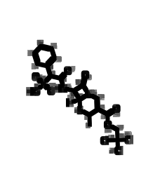 CC1S[C@@H]2C(NC(=O)C(c3ccccc3)S(=O)(=O)O)C(=O)N2C=C1C(=O)OCC(Cl)(Cl)Cl